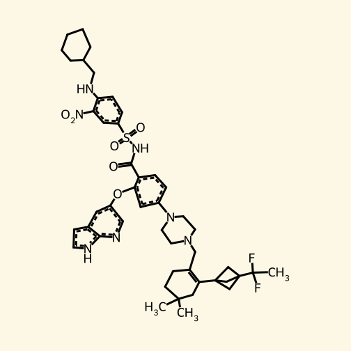 CC1(C)CCC(CN2CCN(c3ccc(C(=O)NS(=O)(=O)c4ccc(NCC5CCCCC5)c([N+](=O)[O-])c4)c(Oc4cnc5[nH]ccc5c4)c3)CC2)=C(C23CC(C(C)(F)F)(C2)C3)C1